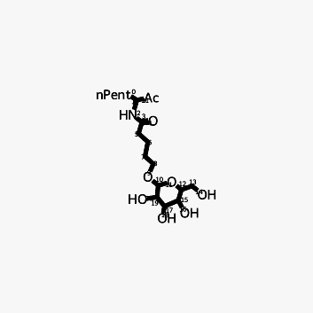 CCCCCC(NC(=O)CCCCOC1OC(CO)C(O)C(O)C1O)C(C)=O